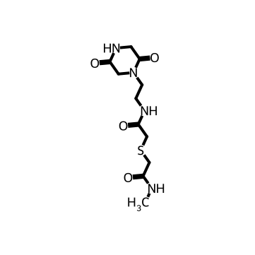 CNC(=O)CSCC(=O)NCCN1CC(=O)NCC1=O